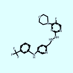 Fc1cnc(NNCc2ccc(Nc3cccc(C(F)(F)F)c3)cn2)nc1N1CCOCC1